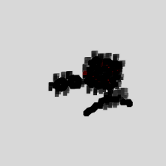 CCCCCCC(F)(F)C(F)(F)C(F)(F)[NH2+]CCC.Fc1c(F)c(F)c2c([B-](c3c(F)c(F)c(F)c4c(F)c(F)c(F)c(F)c34)(c3c(F)c(F)c(F)c4c(F)c(F)c(F)c(F)c34)c3c(F)c(F)c(F)c4c(F)c(F)c(F)c(F)c34)c(F)c(F)c(F)c2c1F.Fc1ccccc1-c1c(F)c(F)c(F)c(F)c1F